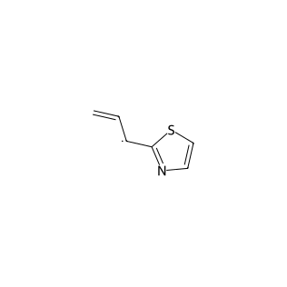 C=C[CH]c1nccs1